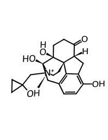 C[N@+]1(CC2(O)CC2)CC[C@]23c4c5ccc(O)c4C[C@H]2C(=O)CC[C@@]3(O)[C@@]1(O)C5